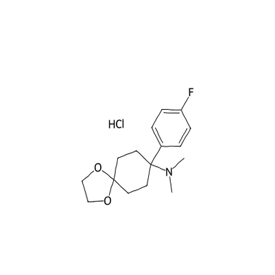 CN(C)C1(c2ccc(F)cc2)CCC2(CC1)OCCO2.Cl